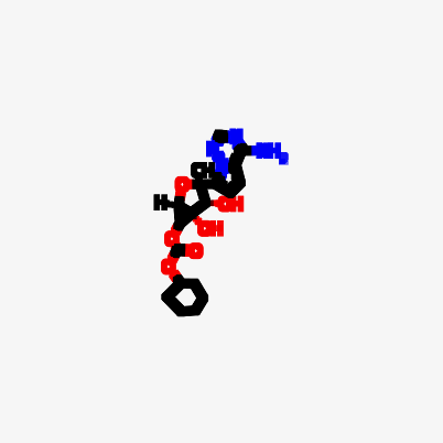 C[C@@]1(c2ccc3c(N)ncnn23)O[C@@H]2C(OC(=O)OC3CCCCC3)[C@]2(O)[C@H]1O